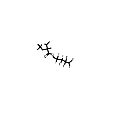 CC(C)C(C)(CC(C)(C)C)C(=O)OCC(F)(F)C(F)(F)C(F)(F)C(F)F